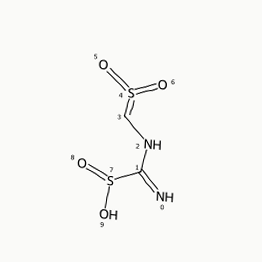 N=C(NC=S(=O)=O)S(=O)O